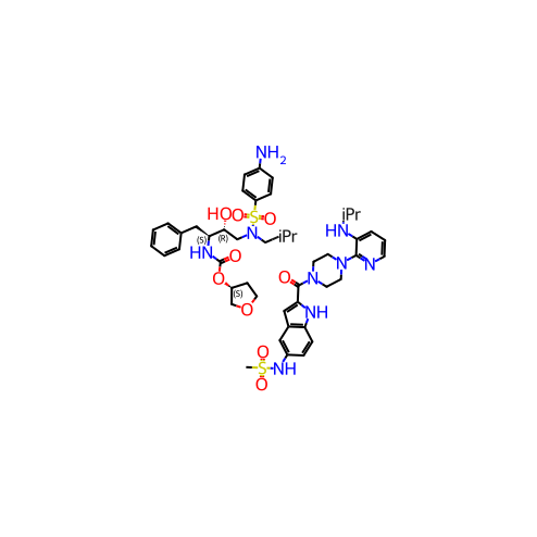 CC(C)CN(C[C@@H](O)[C@H](Cc1ccccc1)NC(=O)O[C@H]1CCOC1)S(=O)(=O)c1ccc(N)cc1.CC(C)Nc1cccnc1N1CCN(C(=O)c2cc3cc(NS(C)(=O)=O)ccc3[nH]2)CC1